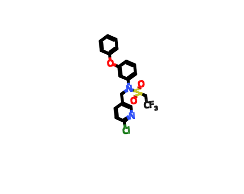 O=S(=O)(CC(F)(F)F)N(Cc1ccc(Cl)nc1)c1cccc(Oc2ccccc2)c1